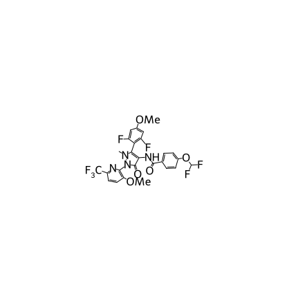 COc1cc(F)c(-c2c(NC(=O)c3ccc(OC(F)F)cc3)c(=O)n(-c3nc(C(F)(F)F)ccc3OC)n2C)c(F)c1